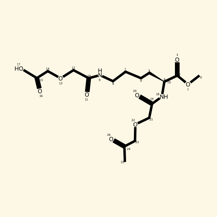 COC(=O)[C@H](CCCCNC(=O)COCC(=O)O)NC(=O)COCC(C)=O